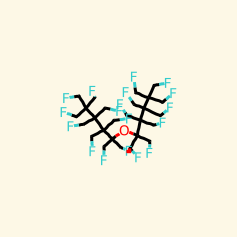 FCC(CF)(CF)C(CF)(CF)C(CF)(CF)C(CF)(CF)OC(CF)(CF)C(CF)(CF)C(CF)(CF)C(CF)(CF)CF